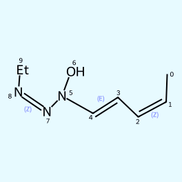 C/C=C\C=C\N(O)/N=N\CC